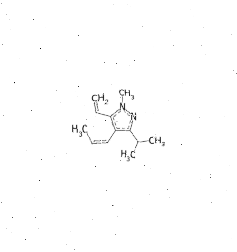 C=Cc1c(/C=C\C)c(C(C)C)nn1C